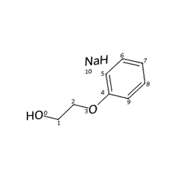 OCCOc1ccccc1.[NaH]